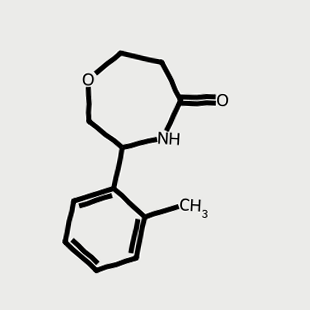 Cc1ccccc1C1COCCC(=O)N1